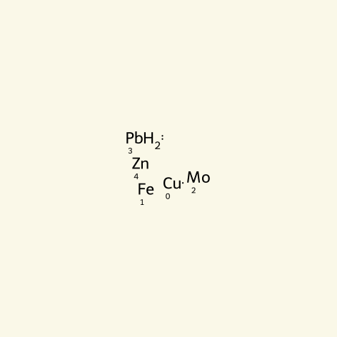 [Cu].[Fe].[Mo].[PbH2].[Zn]